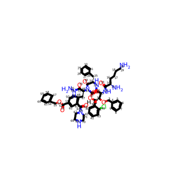 C[C@@H](OCc1ccccc1)[C@H](NC(=O)[C@@H](N)CCCCN)C(=O)N[C@@H](Cc1ccccc1)C(=O)N(C(=O)OCc1ccccc1Cl)[C@@H](Cc1ccc(C(=O)OCc2ccccc2)cc1C(=O)N1CCNCC1)C(=O)NN